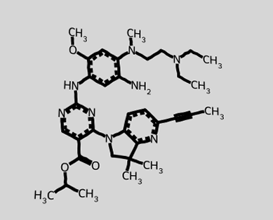 CC#Cc1ccc2c(n1)C(C)(C)CN2c1nc(Nc2cc(N)c(N(C)CCN(CC)CC)cc2OC)ncc1C(=O)OC(C)C